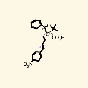 CC1(C)O[C@H](c2ccccc2)[C@@H](CC/C=C/c2ccc([N+](=O)[O-])cc2)N1C(=O)O